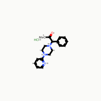 COC(=O)C(c1ccccc1)N1CCN(c2ccccn2)CC1.Cl